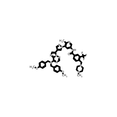 COc1ccc(CN(Cc2ccc(OC)cc2)c2ncnn3c(-c4cnn(-c5cc(NC(=O)c6ccc(CN7CCN(C)CC7)c(C(F)(F)F)c6)cnc5C)c4)cnc23)cc1